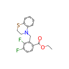 CCOC(=O)c1ccc(F)c(F)c1CN1CCSc2ccccc21